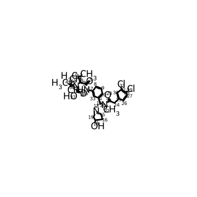 CC(C)C(C(=O)Nc1cccc([C@@H](CN2CCC(O)C2)N(C)C(=O)Cc2ccc(Cl)c(Cl)c2)c1)N(C(=O)O)C(C)(C)C